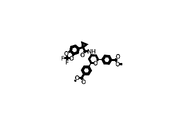 COC(=O)c1ccc([C@@H]2C[C@@H](NC(=O)C3(c4ccc5c(c4)OC(F)(F)O5)CC3)C[C@H](c3ccc(C(=O)OC)cc3)O2)cc1